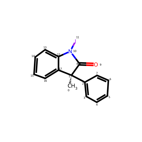 C[C@@]1(c2ccccc2)C(=O)N(I)c2ccccc21